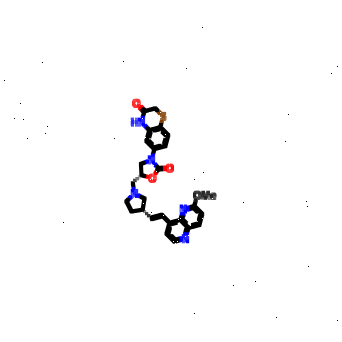 COc1ccc2nccc(C=C[C@@H]3CCN(C[C@@H]4CN(c5ccc6c(c5)NC(=O)CS6)C(=O)O4)C3)c2n1